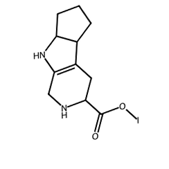 O=C(OI)C1CC2=C(CN1)NC1CCCC21